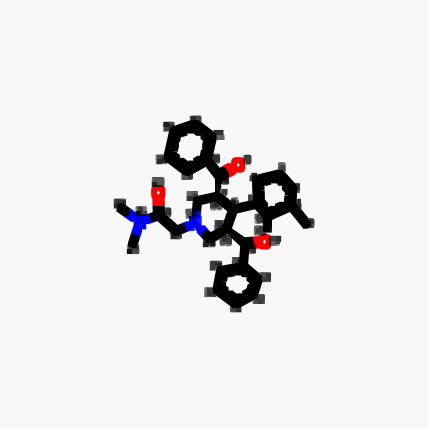 Cc1cccc(C2[C@@H](C(=O)c3ccccc3)CN(CC(=O)N(C)C)C[C@@H]2C(=O)c2ccccc2)c1C